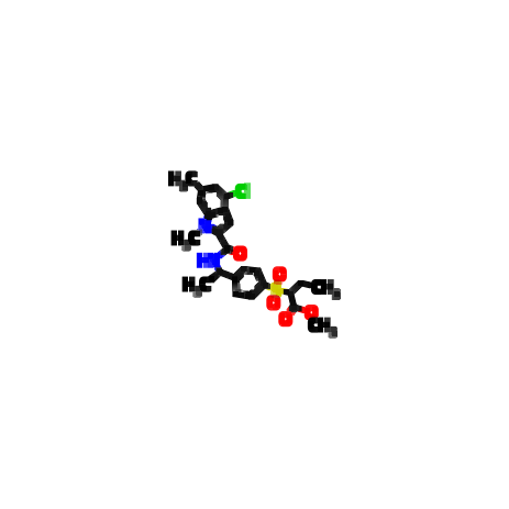 CCC(C(=O)OC)S(=O)(=O)c1ccc([C@@H](C)NC(=O)c2cc3c(Cl)cc(C)cc3n2C)cc1